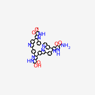 COc1c[nH]c2nc(-c3ccccc3)c(-c3ccc4ncc(-c5ccc(-c6nc7[nH]cc(O)c(=O)c7cc6-c6ccc7ncc(-c8cccc(-c9nc%10[nH]cc(C(N)=O)c(=O)c%10cc9-c9ccc%10ncccc%10c9)c8)cc7c6)cc5)cc4c3)cc2c1=O